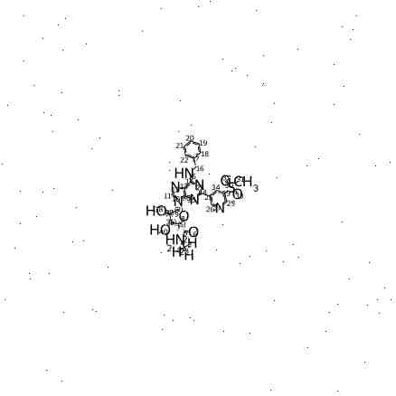 [2H]C([2H])([2H])NC(=O)[C@H]1O[C@@H](n2cnc3c(NCc4ccccc4)nc(-c4cncc(S(C)(=O)=O)c4)nc32)[C@H](O)[C@@H]1O